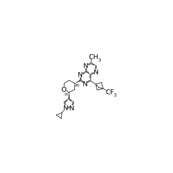 Cc1cnc2c(C34CC(C(F)(F)F)(C3)C4)nc([C@@H]3CCO[C@H](c4cnn(C5CC5)c4)C3)nc2n1